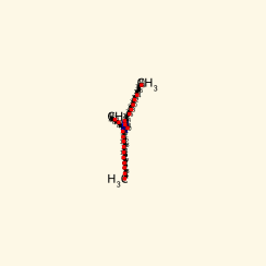 CCCCCCCCCCCCCCCCCCCN1C=CN(CCCCCCCCCCCCCCCCC)C1CCCCCC